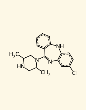 CC1CN(C2=Nc3cc(Cl)ccc3Nc3ccccc32)C(C)CN1